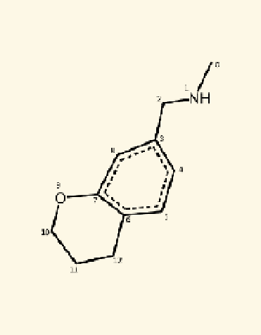 CNCc1ccc2c(c1)OCCC2